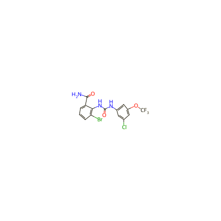 NC(=O)c1cccc(Br)c1NC(=O)Nc1cc(Cl)cc(OC(F)(F)F)c1